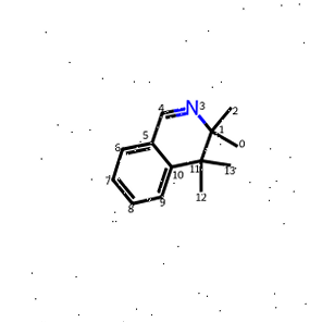 CC1(C)N=Cc2ccccc2C1(C)C